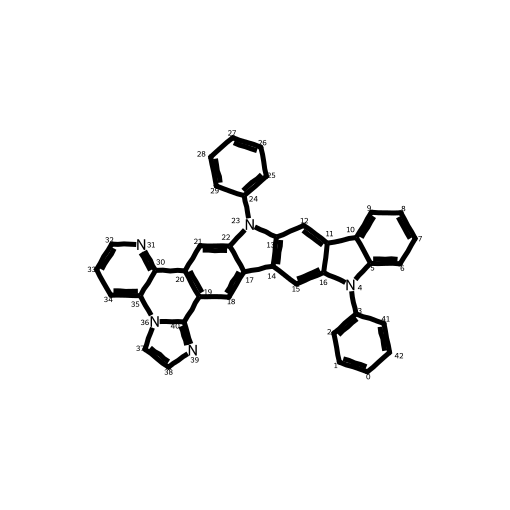 c1ccc(-n2c3ccccc3c3cc4c(cc32)c2cc3c(cc2n4-c2ccccc2)c2ncccc2n2ccnc32)cc1